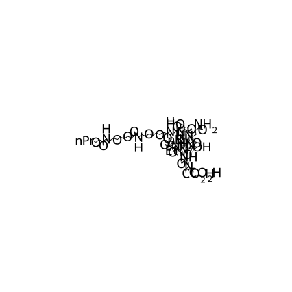 CCCC[C@H](NC(=O)[C@H](CNC(=O)CN(CC(=O)O)CC(=O)O)NC(=O)[C@H](CO)NC(=O)[C@H](CCC(N)=O)NC(=O)[C@H](CO)NC(=O)CNC(=O)COCCOCCNC(=O)COCCOCCNC(=O)COCCC)C(=O)CC